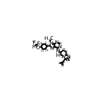 CCn1c(-c2ccc(OC(F)(F)F)cc2)nc2c(N[C@@H]3CCc4nnc(C5CC5)n4C3)ncnc21